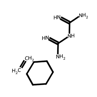 C1CCCCC1.C=C.N=C(N)NC(=N)N